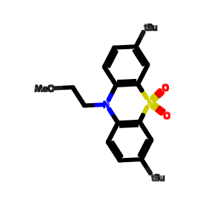 COCCN1c2ccc(C(C)(C)C)cc2S(=O)(=O)c2cc(C(C)(C)C)ccc21